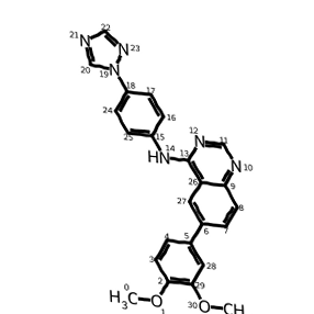 COc1ccc(-c2ccc3ncnc(Nc4ccc(-n5cncn5)cc4)c3c2)cc1OC